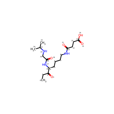 CCC(=O)[C@H](CCCCNC(=O)CCC(=O)O)NC(=O)CNC(C)C